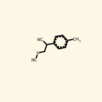 Cc1ccc(C(C#N)CSC#N)cc1